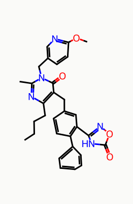 CCCCc1nc(C)n(Cc2ccc(OC)nc2)c(=O)c1Cc1ccc(-c2ccccc2)c(-c2noc(=O)[nH]2)c1